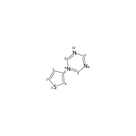 c1ccsc1.c1ncncn1